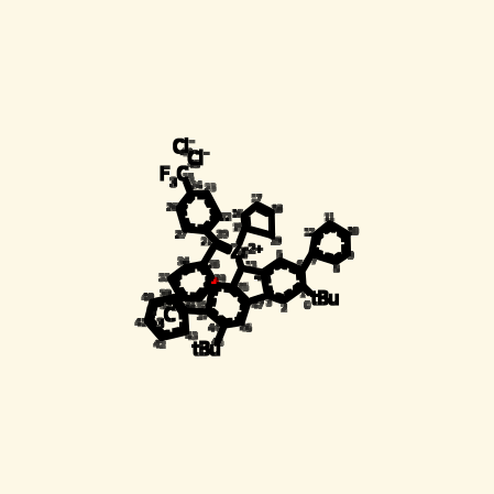 CC(C)(C)c1cc2c(cc1-c1ccccc1)[CH]([Zr+2]([C]1=CC=CC1)=[C](c1ccc(C(F)(F)F)cc1)c1ccc(C(F)(F)F)cc1)c1cc(-c3ccccc3)c(C(C)(C)C)cc1-2.[Cl-].[Cl-]